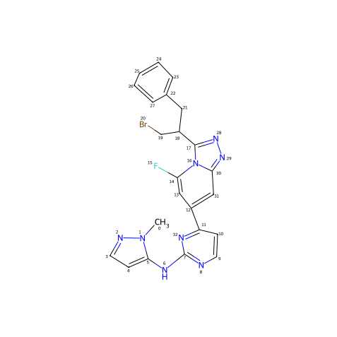 Cn1nccc1Nc1nccc(-c2cc(F)n3c(C(CBr)Cc4ccccc4)nnc3c2)n1